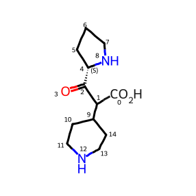 O=C(O)C(C(=O)[C@@H]1CCCN1)C1CCNCC1